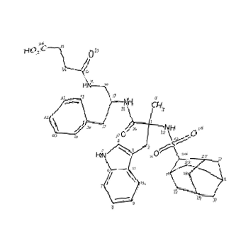 CC(Cc1c[nH]c2ccccc12)(NS(=O)(=O)C1C2CC3CC(C2)CC1C3)C(=O)NC(CNC(=O)CCC(=O)O)Cc1ccccc1